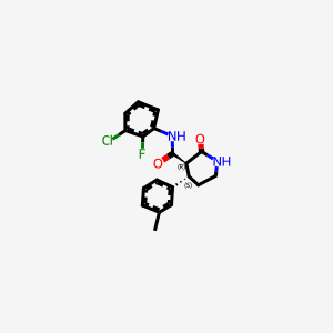 Cc1cccc([C@H]2CCNC(=O)[C@@H]2C(=O)Nc2cccc(Cl)c2F)c1